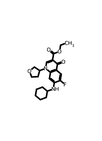 CCOC(=O)c1cn(C2CCOC2)c2cc(NC3CCCCC3)c(F)cc2c1=O